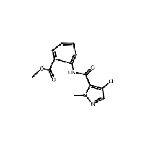 COC(=O)c1ccccc1NC(=O)c1c(Cl)cnn1C